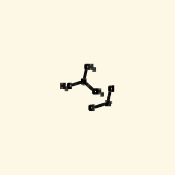 C[Si](C)C.[Cl][Zr][Cl]